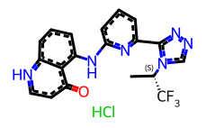 C[C@H](n1cnnc1-c1cccc(Nc2cccc3[nH]ccc(=O)c23)n1)C(F)(F)F.Cl